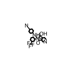 N#Cc1ccc(Nc2ccc(C(F)(F)F)cc2NC(=O)c2cnccc2C(=O)O)cc1